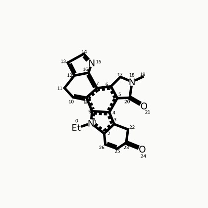 CCn1c2c(c3c4c(c5c(c31)=CCC1=CC=NC=51)CN(C)C4=O)CC(=O)C=C2